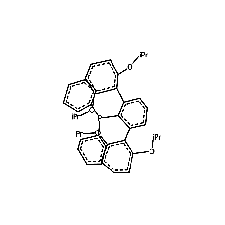 CC(C)Oc1cccc(OC(C)C)c1-c1cccc(-c2c(OC(C)C)cccc2OC(C)C)c1P(c1ccccc1)c1ccccc1